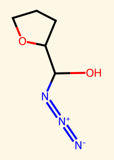 [N-]=[N+]=NC(O)C1CCCO1